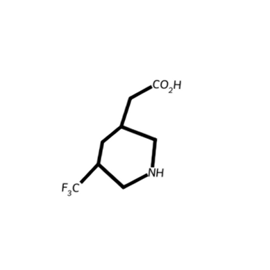 O=C(O)CC1CNCC(C(F)(F)F)C1